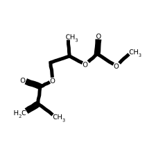 C=C(C)C(=O)OCC(C)OC(=O)OC